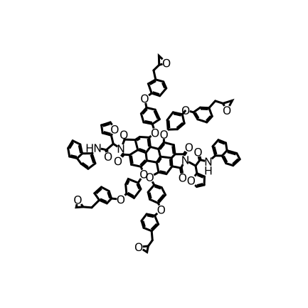 O=C(Nc1cccc2ccccc12)C(c1ccco1)N1C(=O)c2cc(Oc3ccc(Oc4cccc(CC5CO5)c4)cc3)c3c4c(Oc5ccc(Oc6cccc(CC7CO7)c6)cc5)cc5c6c(cc(Oc7ccc(Oc8cccc(CC9CO9)c8)cc7)c(c7c(Oc8ccc(Oc9cccc(CC%10CO%10)c9)cc8)cc(c2c37)C1=O)c64)C(=O)N(C(C(=O)Nc1cccc2ccccc12)c1ccco1)C5=O